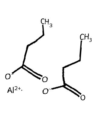 CCCC(=O)[O-].CCCC(=O)[O-].[Al+2]